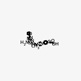 CN(CCN1CCN(c2ccc(OCC(=O)O)cc2)CC1)c1nc(N)n2nc(-c3ccco3)nc2n1